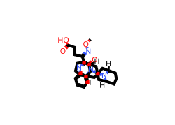 CO/N=C(\CCC(=O)O)c1nc2ccccc2n(C2C[C@H]3CCC[C@@H](C2)N3C2C[C@H]3CCCC[C@@H](C2)C3)c1=O